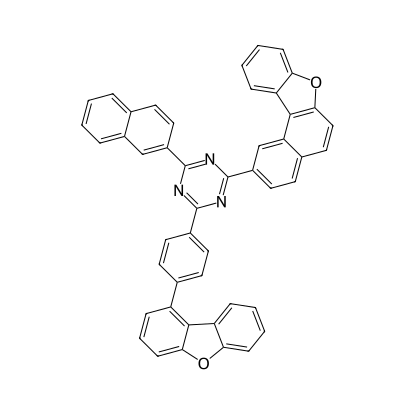 c1ccc2cc(-c3nc(-c4ccc(-c5cccc6oc7ccccc7c56)cc4)nc(-c4ccc5ccc6oc7ccccc7c6c5c4)n3)ccc2c1